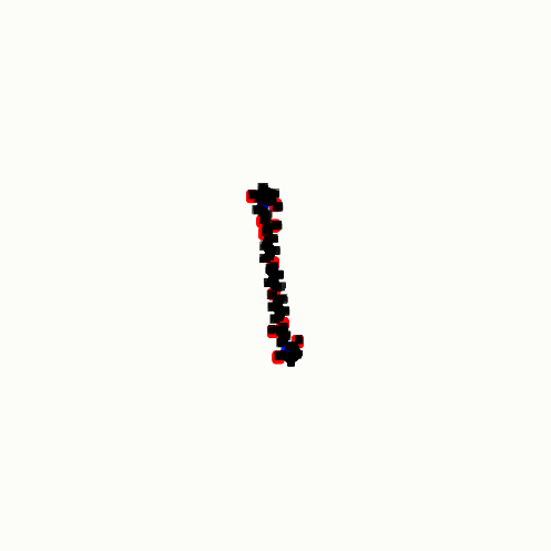 O=C(CCN1C(=O)C=CC1=O)OCCCCOCCCCOCCCCOC(=O)OCCN1C(=O)C=CC1=O